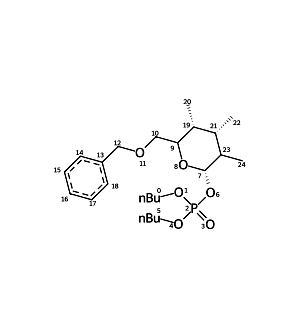 CCCCOP(=O)(OCCCC)O[C@@H]1OC(COCc2ccccc2)[C@H](C)[C@H](C)C1C